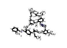 CCN(CC)c1ccc(/N=N/c2ccccc2C)c(Nc2nc(Nc3cc(N(CC)CC)ccc3/N=N/c3cc(S(=O)(=O)O)ccc3C)nc(SCCO)n2)c1